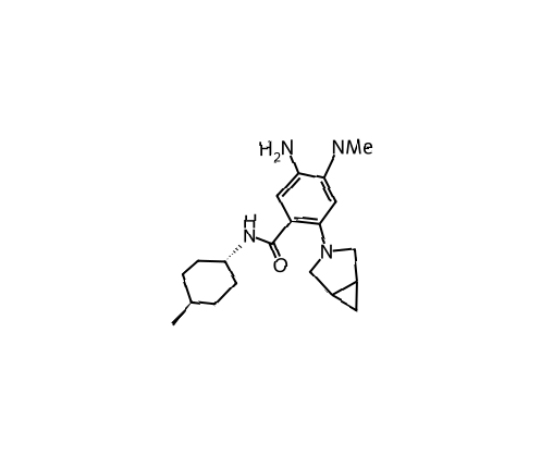 CNc1cc(N2CC3CC3C2)c(C(=O)N[C@H]2CC[C@H](C)CC2)cc1N